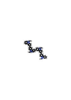 CCn1c2ccccc2c2cc(-c3ccc4c(c3)c3cc(-c5ccc6c(c5)c5cc(-c7ccc8c(c7)c7ccccc7n8CC)ccc5n6CC)ccc3n4CC)ccc21